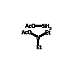 CC(=O)O[SiH3].CCN(CC)OC(C)=O